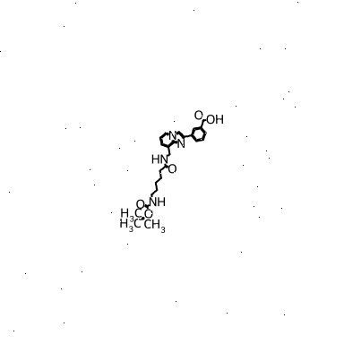 CC(C)(C)OC(=O)NCCCCCC(=O)NCc1cccn2cc(-c3cccc(C(=O)O)c3)nc12